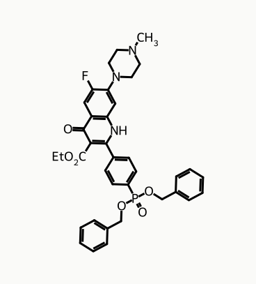 CCOC(=O)c1c(-c2ccc(P(=O)(OCc3ccccc3)OCc3ccccc3)cc2)[nH]c2cc(N3CCN(C)CC3)c(F)cc2c1=O